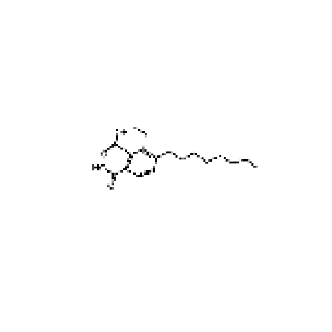 CCCCCCCCc1ccc(C(=O)O)c(C(=O)O)c1CC